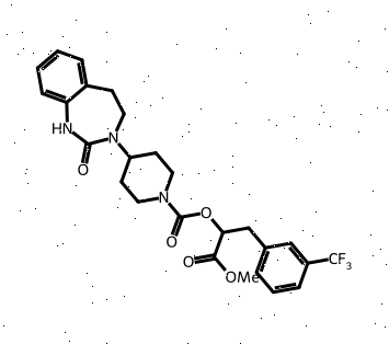 COC(=O)C(Cc1cccc(C(F)(F)F)c1)OC(=O)N1CCC(N2CCc3ccccc3NC2=O)CC1